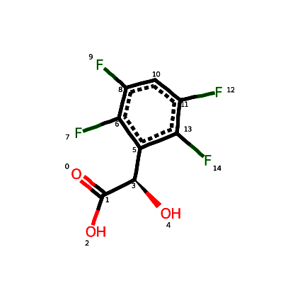 O=C(O)[C@H](O)c1c(F)c(F)cc(F)c1F